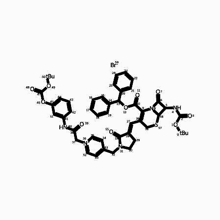 CC(C)(C)OC(=O)NC1C(=O)N2C(C(=O)OC(c3ccccc3)c3ccccc3)=C(C=C3CCN(Cc4cc[n+](CC(=O)Nc5cccc(OC(=O)OC(C)(C)C)c5)cc4)C3=O)CSC12.[Br-]